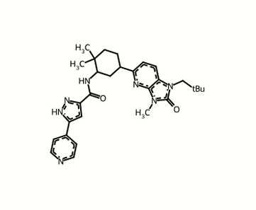 Cn1c(=O)n(CC(C)(C)C)c2ccc(C3CCC(C)(C)C(NC(=O)c4cc(-c5ccncc5)[nH]n4)C3)nc21